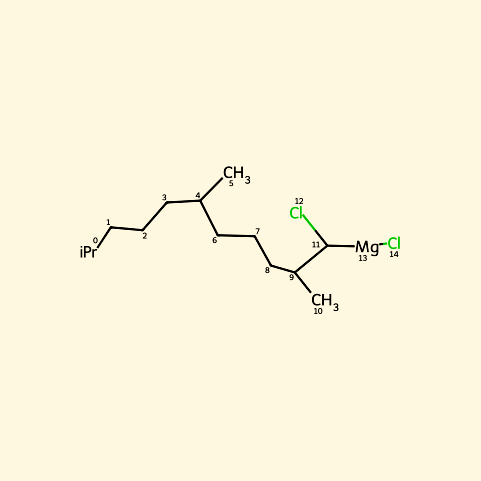 CC(C)CCCC(C)CCCC(C)[CH](Cl)[Mg][Cl]